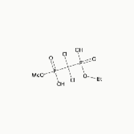 CCOP(=O)(O)C(Cl)(Cl)P(=O)(O)OC